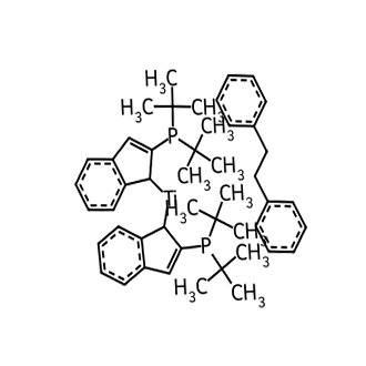 CC(C)(C)P(C1=Cc2ccccc2[CH]1[Ti][CH]1C(P(C(C)(C)C)C(C)(C)C)=Cc2ccccc21)C(C)(C)C.c1ccc(CCc2ccccc2)cc1